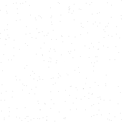 O=C(Cn1nc(C(F)(F)F)c2c1CCCC2)NCc1ccc2occc2c1